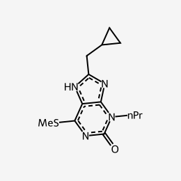 CCCn1c(=O)nc(SC)c2[nH]c(CC3CC3)nc21